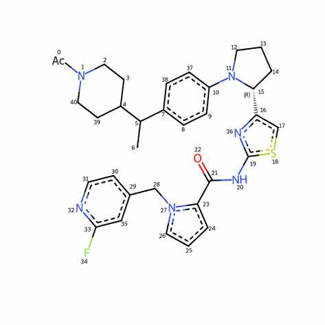 CC(=O)N1CCC(C(C)c2ccc(N3CCC[C@@H]3c3csc(NC(=O)c4cccn4Cc4ccnc(F)c4)n3)cc2)CC1